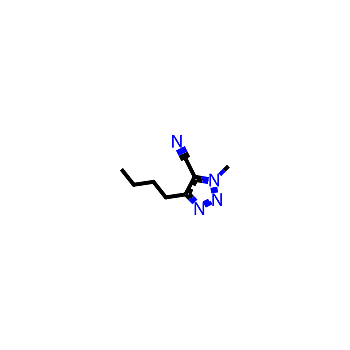 CCCCc1nnn(C)c1C#N